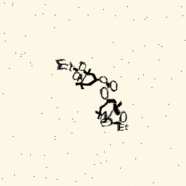 CCC(=O)ON1C(C)(C)CC(OC(=O)OC2CC(C)(C)N(OC(=O)CC)C(C)(C)C2)CC1(C)C